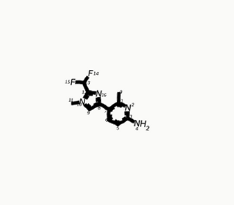 Cc1nc(N)ccc1-c1cn(C)c(C(F)F)n1